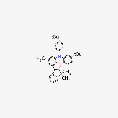 Cc1cc2c3c(c1)N(c1ccc(C(C)(C)C)cc1)c1cc(C(C)(C)C)ccc1B3C1=C2c2ccccc2C1(C)C